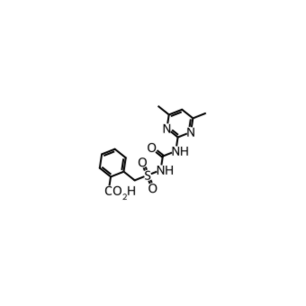 Cc1cc(C)nc(NC(=O)NS(=O)(=O)Cc2ccccc2C(=O)O)n1